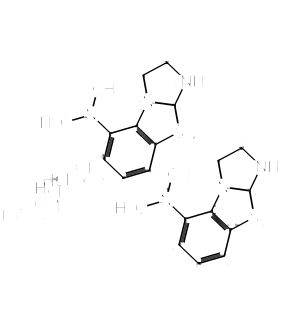 CN(C)c1cccc2c1N1CCNC1S2.CN(C)c1cccc2c1N1CCNC1S2.Cl.Cl.Cl.Cl.O